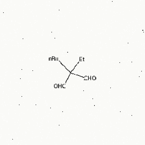 CCCCC(C=O)(C=O)CC